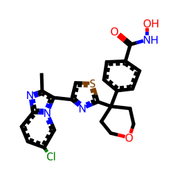 Cc1nc2ccc(Cl)cn2c1-c1csc(C2(c3ccc(C(=O)NO)cc3)CCOCC2)n1